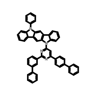 c1ccc(-c2ccc(-c3cc(-n4c5ccccc5c5cc6c(cc54)c4ccccc4n6-c4ccccc4)nc(-c4cccc(-c5ccccc5)c4)n3)cc2)cc1